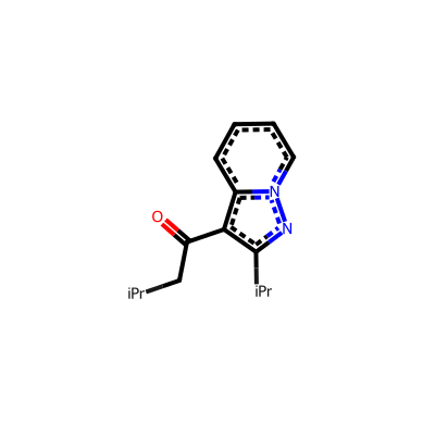 CC(C)CC(=O)c1c(C(C)C)nn2ccccc12